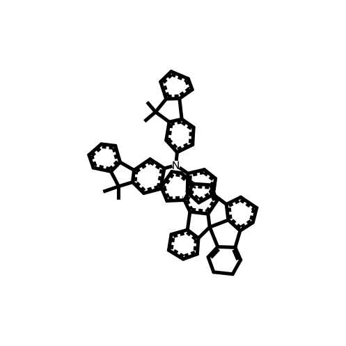 CC1(C)c2ccccc2-c2cc(N(c3ccc(-c4cccc5c4C4(C6=CCCC=C65)c5ccccc5-c5c4ccc4ccccc54)cc3)c3ccc4c(c3)C(C)(C)c3ccccc3-4)ccc21